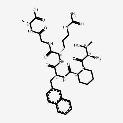 C[C@H](O)[C@@H](N)C(=O)N1CCCC[C@H]1C(=O)N[C@@H](Cc1ccc2ccccc2c1)C(=O)N[C@@H](CCCNC(=N)N)C(=O)NCC(=O)N[C@H](C)C(=O)O